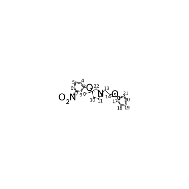 CC1(Oc2cccc([N+](=O)[O-])c2)CCN(CCOc2ccccc2)C1